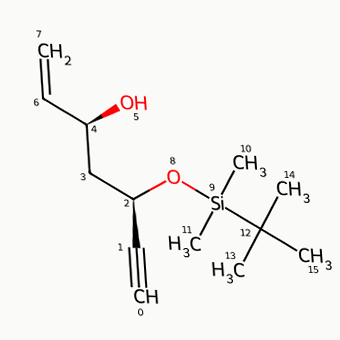 C#C[C@@H](C[C@H](O)C=C)O[Si](C)(C)C(C)(C)C